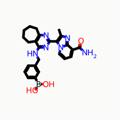 Cc1nc2c(C(N)=O)cccn2c1-c1nc2c(c(NCc3cccc(B(O)O)c3)n1)CCCCC2